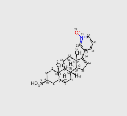 C[C@]12CC[C@H](S(=O)(=O)O)CC1=CC[C@@H]1[C@@H]2CC[C@]2(C)C(c3ccc[n+]([O-])c3)=CC[C@@H]12